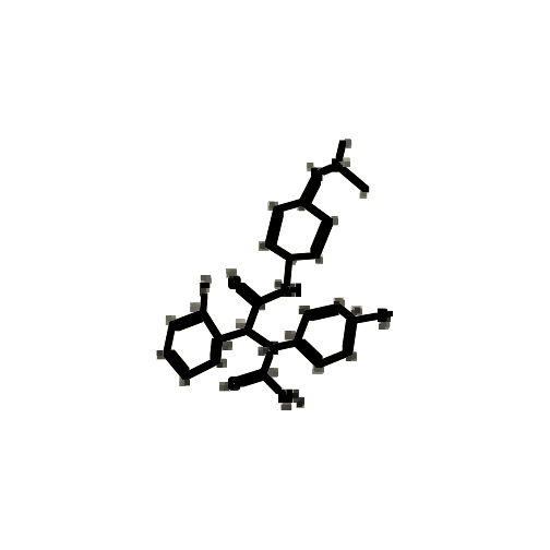 CN(C)N=C1C=CC(NC(=O)C(c2ccccc2F)N(C(N)=O)c2ccc(Br)cc2)C=C1